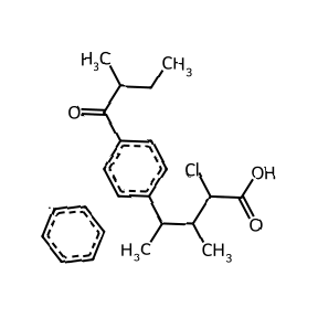 CCC(C)C(=O)c1ccc(C(C)C(C)C(Cl)C(=O)O)cc1.[c]1ccccc1